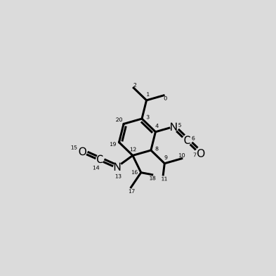 CC(C)C1=C(N=C=O)C(C(C)C)C(N=C=O)(C(C)C)C=C1